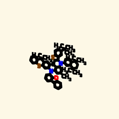 Cc1cc2c3c(c1)N(c1cccc4c1oc1ccccc14)c1cc4c(cc1B3c1sc3ccc(C(C)(C)C)cc3c1N2c1ccc2c(c1)C(C)(C)CCC2(C)C)C(C)(C)c1ccccc1S4